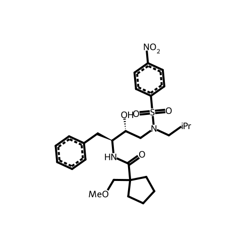 COCC1(C(=O)N[C@@H](Cc2ccccc2)[C@H](O)CN(CC(C)C)S(=O)(=O)c2ccc([N+](=O)[O-])cc2)CCCC1